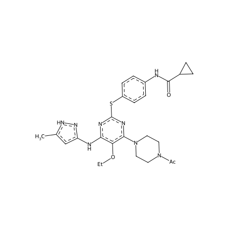 CCOc1c(Nc2cc(C)[nH]n2)nc(Sc2ccc(NC(=O)C3CC3)cc2)nc1N1CCN(C(C)=O)CC1